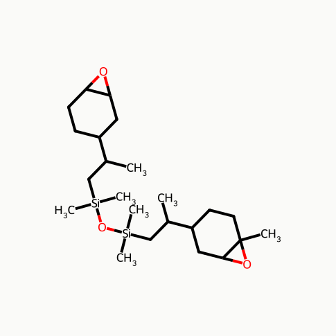 CC(C[Si](C)(C)O[Si](C)(C)CC(C)C1CCC2(C)OC2C1)C1CCC2OC2C1